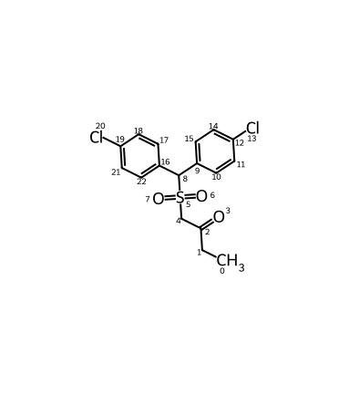 CCC(=O)CS(=O)(=O)C(c1ccc(Cl)cc1)c1ccc(Cl)cc1